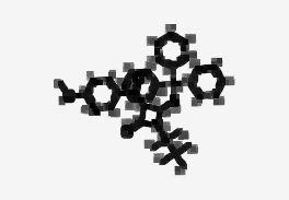 COc1ccc(C(=O)C2C(=O)N([Si](C)(C)C(C)(C)C)C2SC(c2ccccc2)(c2ccccc2)c2ccccc2)cn1